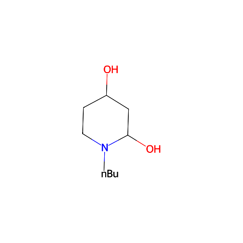 CCCCN1CCC(O)CC1O